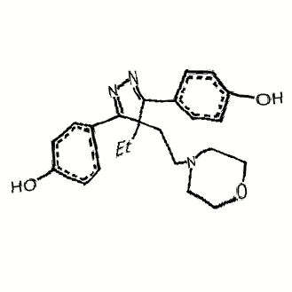 CCC1(CCN2CCOCC2)C(c2ccc(O)cc2)=NN=C1c1ccc(O)cc1